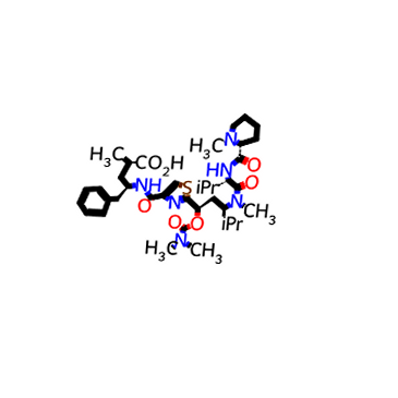 CC(C)[C@H](NC(=O)[C@H]1CCCCN1C)C(=O)N(C)[C@H](C[C@@H](OC(=O)N(C)C)c1nc(C(=O)N[C@@H](Cc2ccccc2)C[C@H](C)C(=O)O)cs1)C(C)C